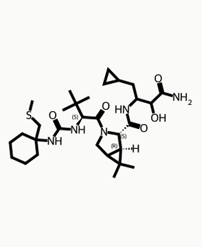 CSCC1(NC(=O)N[C@H](C(=O)N2CC3[C@@H]([C@H]2C(=O)NC(CC2CC2)C(O)C(N)=O)C3(C)C)C(C)(C)C)CCCCC1